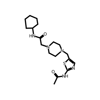 CC(=O)Nc1ncc(CN2CCN(CC(=O)NC3CCCCC3)CC2)s1